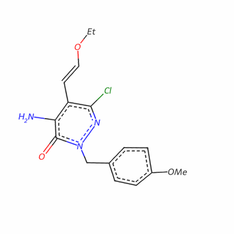 CCOC=Cc1c(Cl)nn(Cc2ccc(OC)cc2)c(=O)c1N